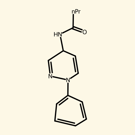 CCCC(=O)NC1C=CN(c2ccccc2)N=C1